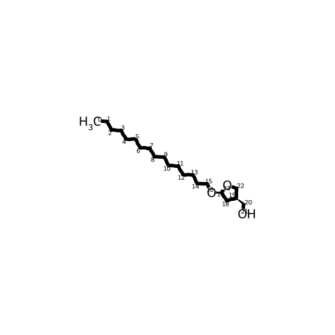 CCCCCCCCCCCCCCCCO[C@@H]1C[C@H](CO)CO1